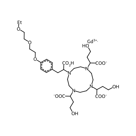 CCOCCOCCOc1ccc(CC(C(=O)O)N2CCN(C(CCO)C(=O)[O-])CCN(C(CCO)C(=O)[O-])CCN(C(CCO)C(=O)[O-])CC2)cc1.[Gd+3]